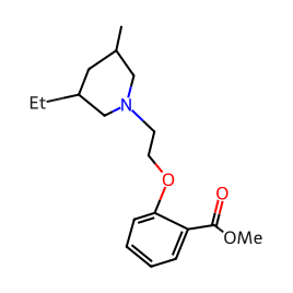 CCC1CC(C)CN(CCOc2ccccc2C(=O)OC)C1